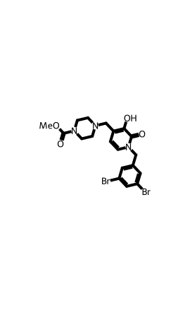 COC(=O)N1CCN(Cc2ccn(Cc3cc(Br)cc(Br)c3)c(=O)c2O)CC1